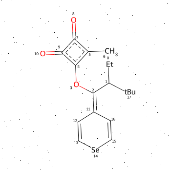 CCC(C(Oc1c(C)c(=O)c1=O)=C1C=C[Se]C=C1)C(C)(C)C